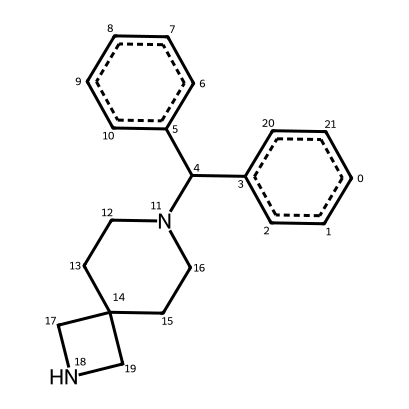 c1ccc(C(c2ccccc2)N2CCC3(CC2)CNC3)cc1